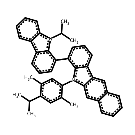 Cc1cc(-n2c3cc4ccccc4cc3c3cccc(-c4cccc5c6ccccc6n(C(C)C)c45)c32)c(C)cc1C(C)C